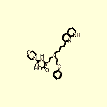 O=C(O)[C@H](CCN(CCCCc1ccc2c(n1)NCCC2)CCOc1ccccc1)NC(=O)N1CCOCC1